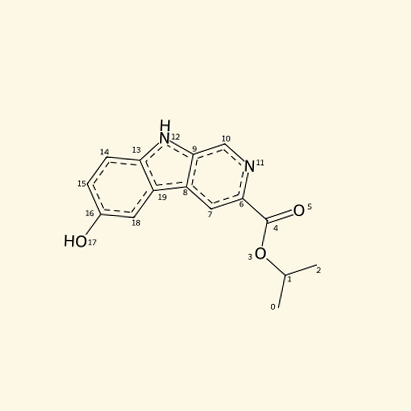 CC(C)OC(=O)c1cc2c(cn1)[nH]c1ccc(O)cc12